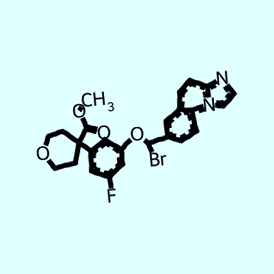 COC(=O)C1(c2cc(F)cc(OC(Br)c3ccc4c(ccc5nccn54)c3)c2)CCOCC1